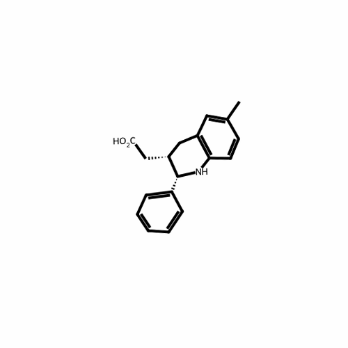 Cc1ccc2c(c1)C[C@@H](CC(=O)O)[C@@H](c1ccccc1)N2